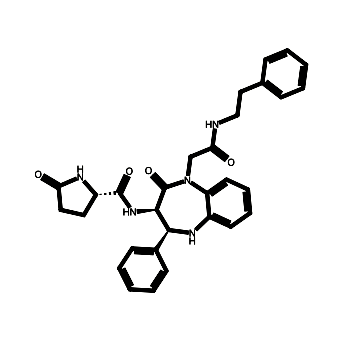 O=C(CN1C(=O)[C@H](NC(=O)[C@@H]2CCC(=O)N2)[C@H](c2ccccc2)Nc2ccccc21)NCCc1ccccc1